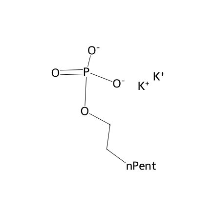 CCCCCCCOP(=O)([O-])[O-].[K+].[K+]